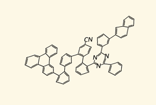 N#Cc1ccc(-c2ccccc2-c2nc(-c3ccccc3)nc(-c3cccc(-c4ccc5ccccc5c4)c3)n2)c(-c2cccc(-c3ccccc3-c3ccc4c5ccccc5c5ccccc5c4c3)c2)c1